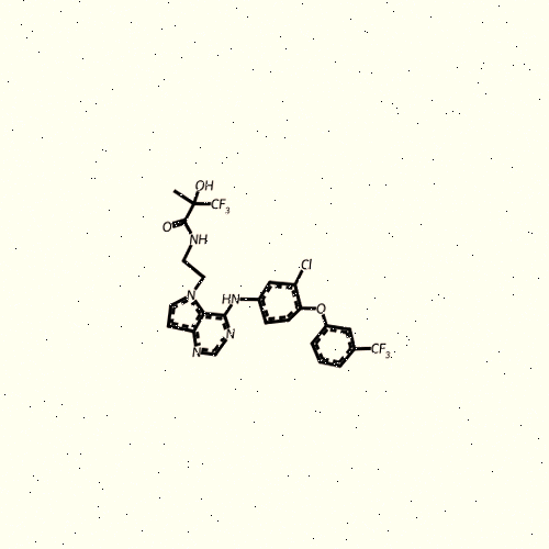 CC(O)(C(=O)NCCn1ccc2ncnc(Nc3ccc(Oc4cccc(C(F)(F)F)c4)c(Cl)c3)c21)C(F)(F)F